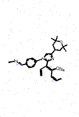 C=C/C(=C(\C=C/C)OC)c1nc(C2CC(C)(C)OC(C)(C)C2)cn1-c1ccc(/C=N/C)cc1